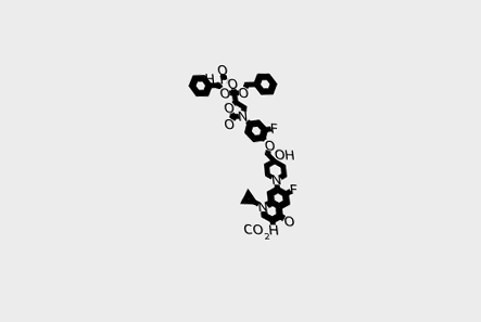 O=[PH2]OC(OCc1ccccc1)(OCc1ccccc1)C1CN(c2ccc(OCC3(O)CCN(c4cc5c(cc4F)c(=O)c(C(=O)O)cn5C4CC4)CC3)c(F)c2)C(=O)O1